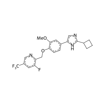 COc1cc(-c2cnc(C3CCC3)[nH]2)ccc1OCc1ncc(C(F)(F)F)cc1F